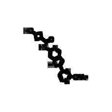 COc1nccc(-c2cc3cnc(NC(=O)C4CC(O)C4)cc3[nH]2)n1